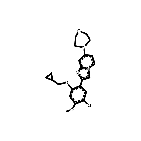 COc1cc(OCC2CC2)c(-c2cn3ccc(N4CCOCC4)cc3n2)cc1Cl